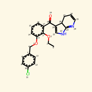 CCOc1c(OCc2ccc(Cl)cc2)cccc1C(=O)C1=CNC2=NC=CCC12